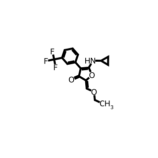 CCO/C=C1\OC(NC2CC2)=C(c2cccc(C(F)(F)F)c2)C1=O